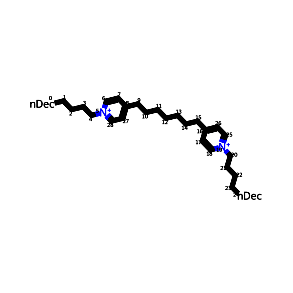 CCCCCCCCCCCCCC[n+]1ccc(CCCCCCCc2cc[n+](CCCCCCCCCCCCCC)cc2)cc1